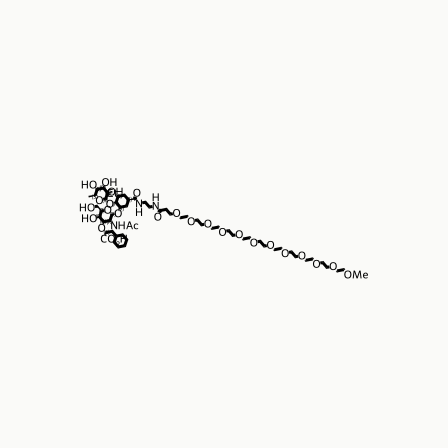 CC[C@H]1C[C@@H](C(=O)NCCNC(=O)CCOCCOCCOCCOCCOCCOCCOCCOCCOCCOCCOCCOC)C[C@@H](O[C@@H]2O[C@H](CO)[C@H](O)[C@H](O[C@@H](CC3CCCCC3)C(=O)O)[C@H]2NC(C)=O)[C@@H]1O[C@@H]1O[C@@H](C)[C@@H](O)[C@@H](O)[C@@H]1O